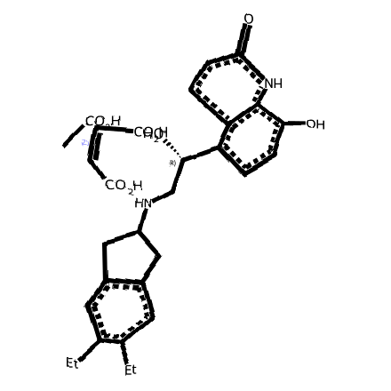 CC(=O)O.CCc1cc2c(cc1CC)CC(NC[C@H](O)c1ccc(O)c3[nH]c(=O)ccc13)C2.O=C(O)/C=C\C(=O)O